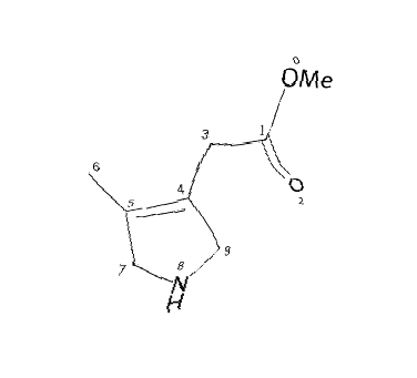 COC(=O)CC1=C(C)CNC1